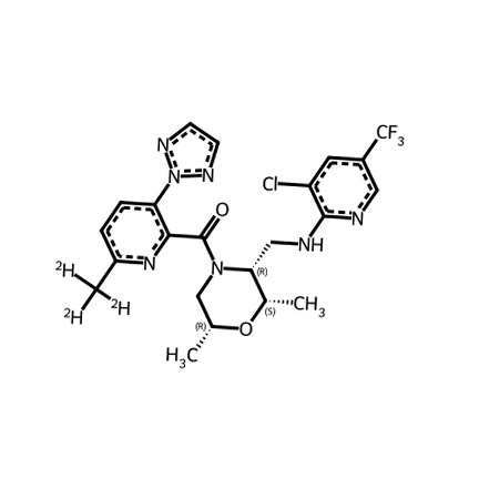 [2H]C([2H])([2H])c1ccc(-n2nccn2)c(C(=O)N2C[C@@H](C)O[C@@H](C)[C@H]2CNc2ncc(C(F)(F)F)cc2Cl)n1